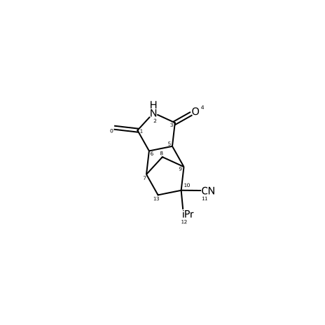 C=C1NC(=O)C2C1C1CC2C(C#N)(C(C)C)C1